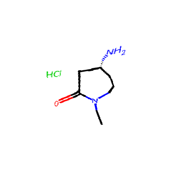 CN1C[C@@H](N)CC1=O.Cl